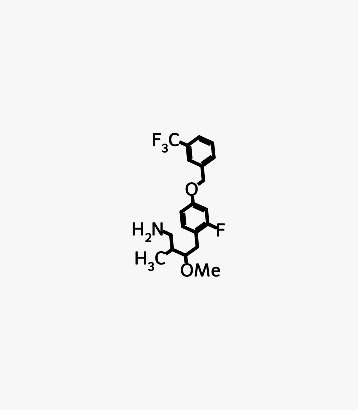 COC(Cc1ccc(OCc2cccc(C(F)(F)F)c2)cc1F)C(C)CN